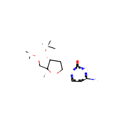 CC(C)[C@]1(CO[Si](C)(C)C(C)(C)C)O[C@@H](n2ccc(N)nc2=O)C[C@@H]1O[Si](C)(C)C(C)(C)C